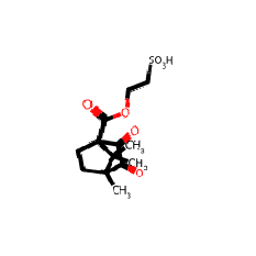 CC12CCC(C(=O)OCCS(=O)(=O)O)(C(=O)C1=O)C2(C)C